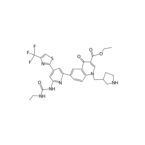 CCNC(=O)Nc1cc(-c2nc(C(F)(F)F)cs2)cc(-c2ccc3c(c2)c(=O)c(C(=O)OCC)cn3CC2CCNC2)n1